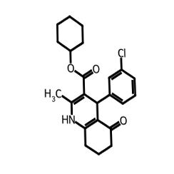 CC1=C(C(=O)OC2CCCCC2)C(c2cccc(Cl)c2)C2=C(CCCC2=O)N1